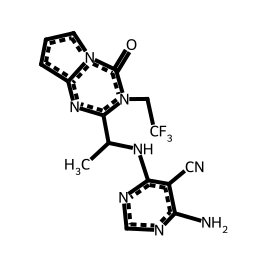 CC(Nc1ncnc(N)c1C#N)c1nc2cccn2c(=O)n1CC(F)(F)F